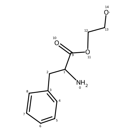 NC(Cc1ccccc1)C(=O)OCC[O]